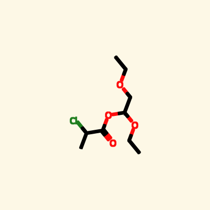 CCOC[C](OCC)OC(=O)C(C)Cl